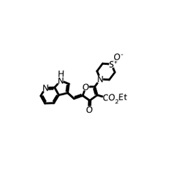 CCOC(=O)C1=C(N2CC[S+]([O-])CC2)O/C(=C\c2c[nH]c3ncccc23)C1=O